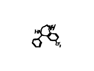 FC(F)(F)c1ccc2c(c1)C(c1ccccc1)NCCN2